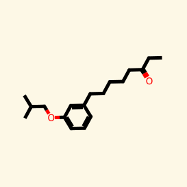 CCC(=O)CCCCCc1cccc(OCC(C)C)c1